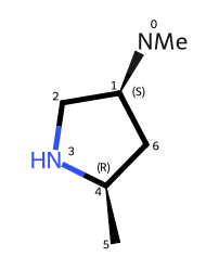 CN[C@@H]1CN[C@H](C)C1